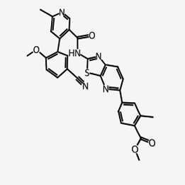 COC(=O)c1ccc(-c2ccc3nc(NC(=O)c4cnc(C)cc4-c4cc(C#N)ccc4OC)sc3n2)cc1C